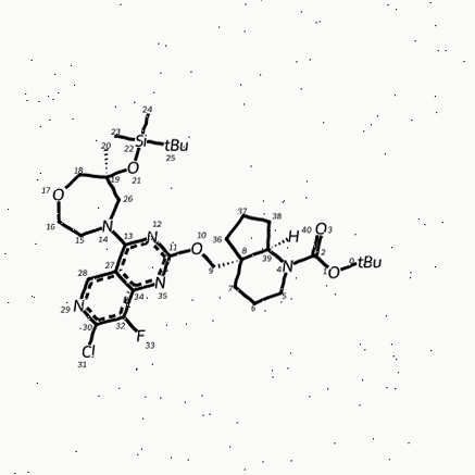 CC(C)(C)OC(=O)N1CCC[C@@]2(COc3nc(N4CCOC[C@@](C)(O[Si](C)(C)C(C)(C)C)C4)c4cnc(Cl)c(F)c4n3)CCC[C@@H]12